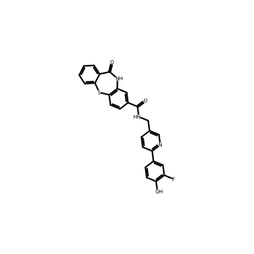 O=C(NCc1ccc(-c2ccc(O)c(F)c2)nc1)c1ccc2c(c1)NC(=O)c1ccccc1S2